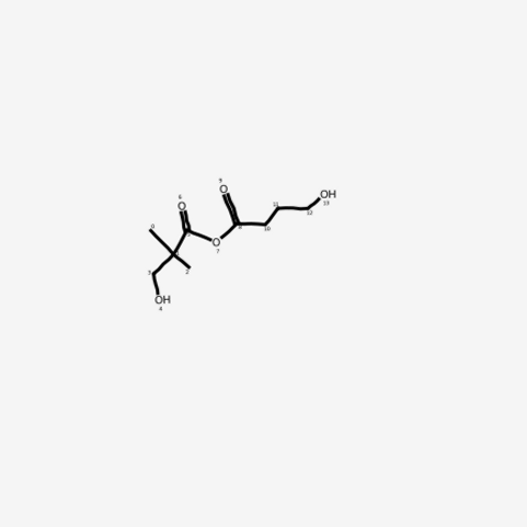 CC(C)(CO)C(=O)OC(=O)CCCO